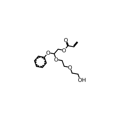 C=CC(=O)OCC(OCCOCCO)Oc1ccccc1